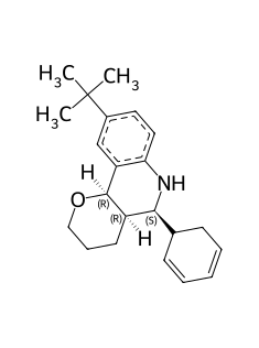 CC(C)(C)c1ccc2c(c1)[C@@H]1OCCC[C@@H]1[C@H](C1C=CC=CC1)N2